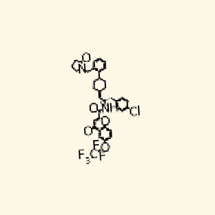 O=C(N[C@H](C=C1CCC(c2ccccc2CN2CCCC2=O)CC1)Cc1ccc(Cl)cc1)c1cc(=O)c2cc(OC(F)(F)C(F)(F)F)ccc2o1